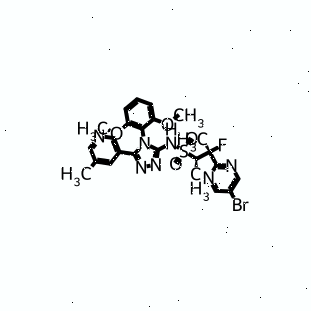 COc1cccc(OC)c1-n1c(NS(=O)(=O)[C@H](C)[C@](C)(F)c2ncc(Br)cn2)nnc1-c1cncc(C)c1